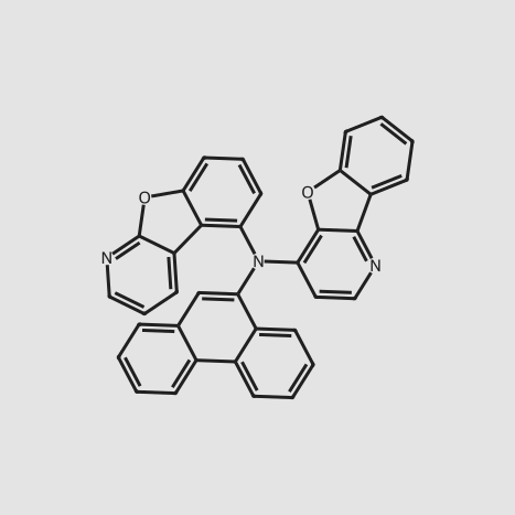 c1ccc2c(c1)cc(N(c1ccnc3c1oc1ccccc13)c1cccc3oc4ncccc4c13)c1ccccc12